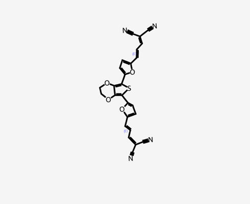 N#CC(C#N)=C/C=C/c1ccc(-c2sc(-c3ccc(/C=C/C=C(C#N)C#N)o3)c3c2OCCO3)o1